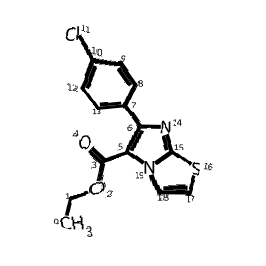 CCOC(=O)c1c(-c2ccc(Cl)cc2)nc2sccn12